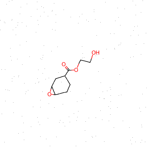 O=C(OCCO)C1CCC2OC2C1